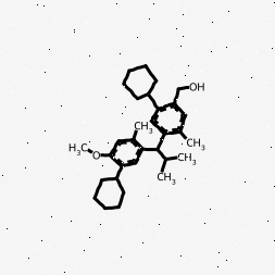 COc1cc(C)c(C(c2cc(C3CCCCC3)c(CO)cc2C)C(C)C)cc1C1CCCCC1